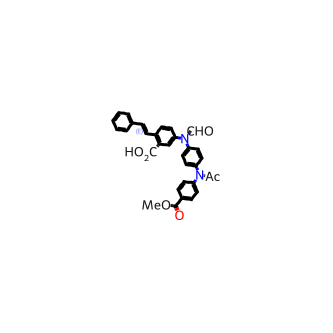 COC(=O)c1ccc(N(C(C)=O)c2ccc(N(C=O)c3ccc(/C=C/c4ccccc4)c(C(=O)O)c3)cc2)cc1